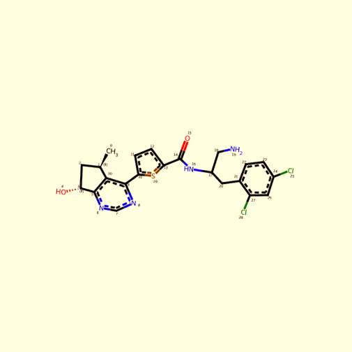 C[C@@H]1C[C@@H](O)c2ncnc(-c3ccc(C(=O)NC(CN)Cc4ccc(Cl)cc4Cl)s3)c21